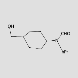 CCCN(C=O)C1CCC(CO)CC1